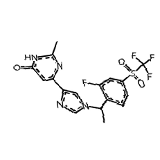 Cc1nc(-c2cn(C(C)c3ccc(S(=O)(=O)C(F)(F)F)cc3F)cn2)cc(=O)[nH]1